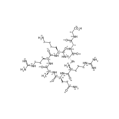 CC(C)[C@H](NC(=O)[C@H](CCCCN)NC(=O)[C@H](CCCNC(=N)N)NC(=O)[C@H](C)NC(=O)[C@H](CCC(N)=O)NC(=O)[C@@H](N)CCCNC(=N)N)C(=O)NCC(=O)NCC(=O)O